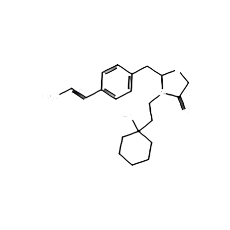 O=C(O)/C=C/c1ccc(CC2SCC(=O)N2CCC2(O)CCCCC2)cc1